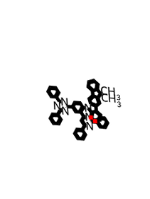 CC1(C)c2ccccc2-c2cc3c(cc21)c1ccccc1n3-c1ccc(-c2nc(-c3ccccc3)nc(-c3ccccc3)n2)cc1-c1cc(-c2ccccc2)nc(-c2ccccc2)n1